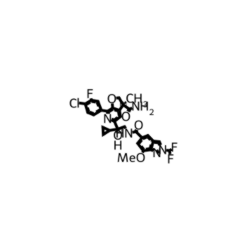 COc1cc(C(=O)NC[C@](O)(c2cc3c(c(-c4ccc(Cl)c(F)c4)n2)OC[C@]3(C)C(N)=O)C2CC2)cc2cn(C(F)F)nc12